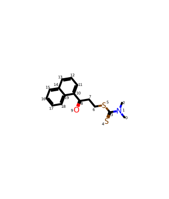 CN(C)C(=S)SCCC(=O)c1cccc2ccccc12